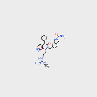 NC(=O)[C@@H](CCCNC(N)=N[N+](=O)[O-])N(Cc1ccc2c(c1)CN(C(N)=O)C2)C(=O)C(c1ccccc1)c1ccccc1